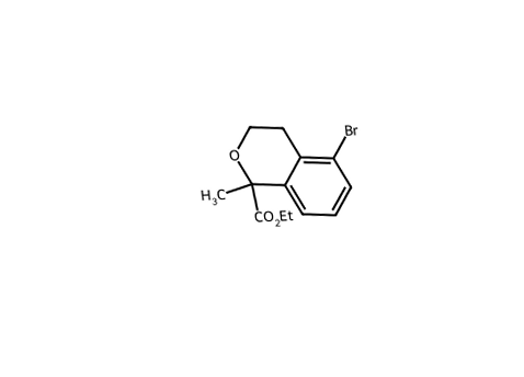 CCOC(=O)C1(C)OCCc2c(Br)cccc21